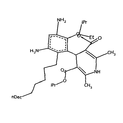 CCCCCCCCCCCCCCCc1c(N)cc(N)c(OCC)c1C1C(C(=O)OC(C)C)=C(C)NC(C)=C1C(=O)OC(C)C